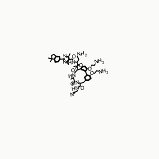 Cc1nc(-c2ccc3c(c2)CCC3(C)C)nc(C)c1C(=O)NC(CCN)C(=O)N(C)C1C(=O)NC(C)C(=O)NC(C(=O)NCC#N)Cc2ccc(OCCN)c(c2)-c2cc1ccc2OCCN